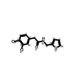 O=C(Cc1ccc(Cl)c(Cl)c1)NCc1ccco1